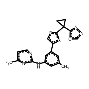 Cc1cc(Nc2nccc(C(F)(F)F)n2)cc(-c2cnc(C3(c4nnco4)CC3)s2)c1